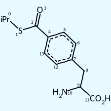 CC(C)SC(=O)c1ccc(CC(N)C(=O)O)cc1